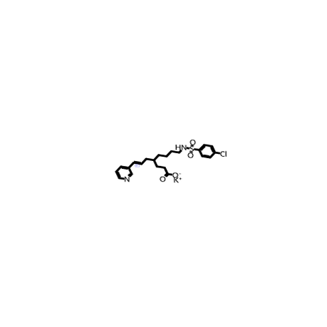 O=C([O-])CCC(C/C=C/c1cccnc1)CCCCNS(=O)(=O)c1ccc(Cl)cc1.[K+]